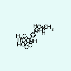 CCc1c(-c2ccc(N3C[C@H]4CC[C@H](NC)[C@H]4C3)cc2)[nH]c(=O)c(C(=O)O)c1O